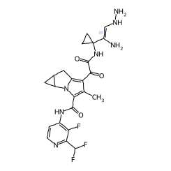 Cc1c(C(=O)C(=O)NC2(/C(N)=C/NN)CC2)c2n(c1C(=O)Nc1ccnc(C(F)F)c1F)C1CC1C2